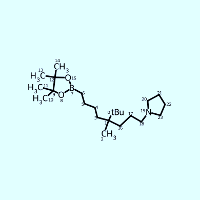 CC(C)(C)C(C)(CCCCB1OC(C)(C)C(C)(C)O1)CCCN1CCCC1